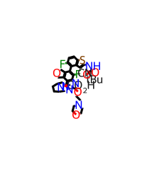 CC(C)(C)OC(=O)Nc1sc2ccc(F)c(-c3c4c(c5c(N6C7CCC6CN(C(=O)O)C7)nc(OCCN6CCOCC6)nc5c3F)COC4)c2c1C#N